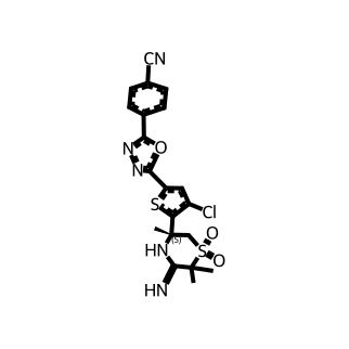 CC1(C)C(=N)N[C@](C)(c2sc(-c3nnc(-c4ccc(C#N)cc4)o3)cc2Cl)CS1(=O)=O